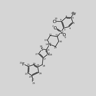 O=S(=O)(c1ccc(Br)cc1Cl)C1CCN(c2nc(Cc3cc(F)cc(F)c3)cs2)CC1